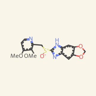 COc1ccnc(C[S+]([O-])c2nc3cc4c(cc3[nH]2)OCO4)c1OC